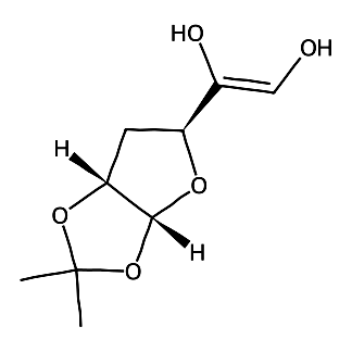 CC1(C)O[C@H]2O[C@H](C(O)=CO)C[C@H]2O1